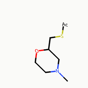 CC(=O)SCC1CN(C)CCO1